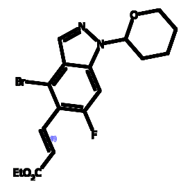 CCOC(=O)/C=C/c1c(F)cc2c(cnn2C2CCCCO2)c1Br